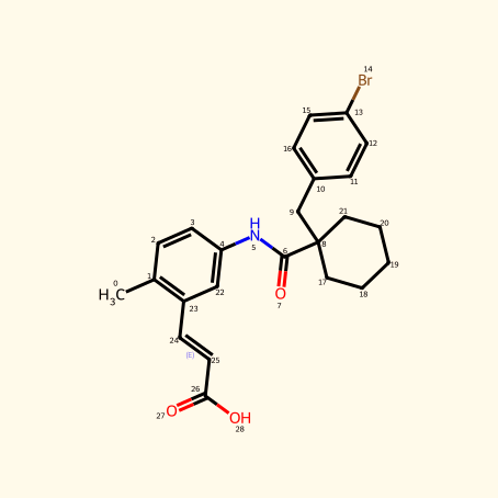 Cc1ccc(NC(=O)C2(Cc3ccc(Br)cc3)CCCCC2)cc1/C=C/C(=O)O